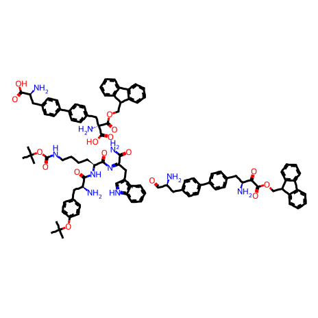 CC(C)(C)OC(=O)NCCCC[C@H](NC(=O)[C@@H](N)Cc1ccc(OC(C)(C)C)cc1)C(=O)N=C(Cc1c[nH]c2ccccc12)C(N)=O.N[C@@H](Cc1ccc(-c2ccc(C[C@](N)(C(=O)O)C(=O)OCC3c4ccccc4-c4ccccc43)cc2)cc1)C(=O)O.N[C@H](C=O)Cc1ccc(-c2ccc(C[C@H](N)C(=O)C(=O)OCC3c4ccccc4-c4ccccc43)cc2)cc1